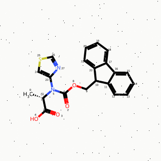 C[C@@H](C(=O)O)N(C(=O)OCC1c2ccccc2-c2ccccc21)c1cscn1